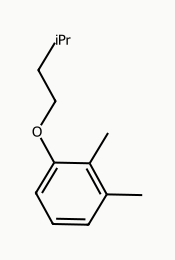 Cc1cccc(OCCC(C)C)c1C